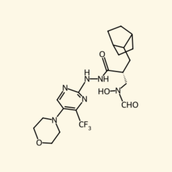 O=CN(O)C[C@@H](CC1C2CCC1CC2)C(=O)NNc1ncc(N2CCOCC2)c(C(F)(F)F)n1